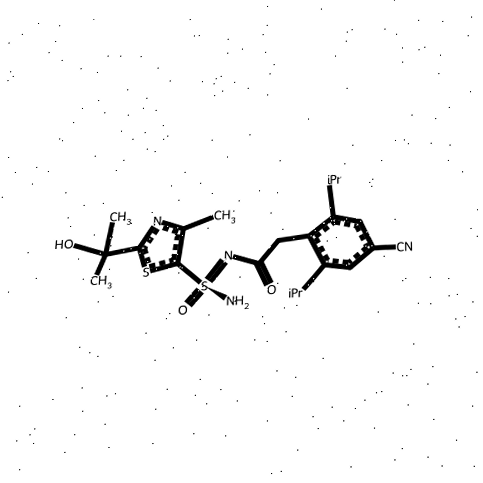 Cc1nc(C(C)(C)O)sc1[S@@](N)(=O)=NC(=O)Cc1c(C(C)C)cc(C#N)cc1C(C)C